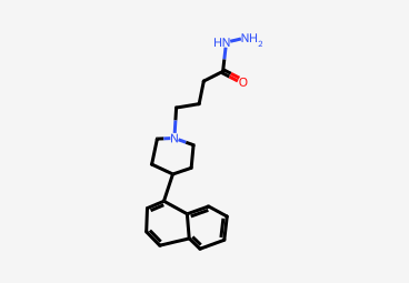 NNC(=O)CCCN1CCC(c2cccc3ccccc23)CC1